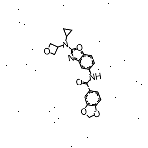 O=C(Nc1ccc2oc(N(C3CC3)C3COC3)nc2c1)c1ccc2c(c1)OCO2